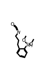 CO[SiH](OC)c1ccccc1CCCN=C=O